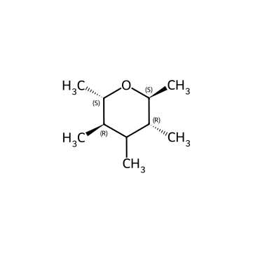 CC1[C@@H](C)[C@H](C)O[C@@H](C)[C@@H]1C